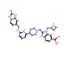 CC1=NC2C=CC(COc3cccc(C4CCN(Cc5nc6ccc(C(=O)O)cc6n5C[C@@H]5CCO5)CC4)n3)=CC2O1